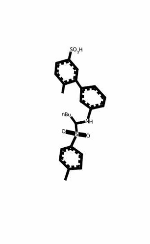 CCCCC(Nc1cccc(-c2cc(S(=O)(=O)O)ccc2C)c1)S(=O)(=O)c1ccc(C)cc1